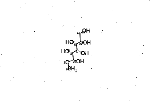 BOC(O)[C@H](O)[C@@H](O)[C@H](O)[C@H](O)CO